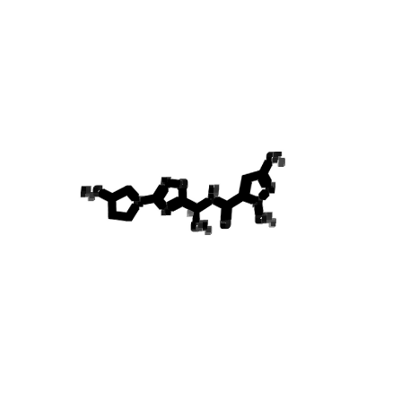 CC1CCN(c2noc([C@H](C)NC(=O)c3cc(C(F)(F)F)nn3C)n2)C1